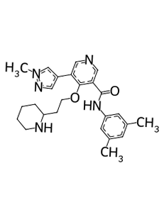 Cc1cc(C)cc(NC(=O)c2cncc(-c3cnn(C)c3)c2OCCC2CCCCN2)c1